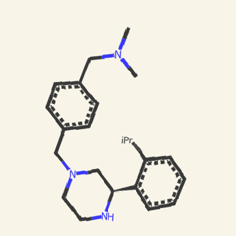 CC(C)c1ccccc1[C@@H]1CN(Cc2ccc(CN(C)C)cc2)CCN1